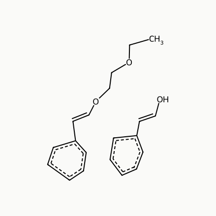 CCOCCOC=Cc1ccccc1.OC=Cc1ccccc1